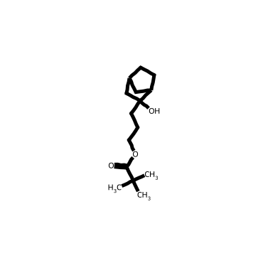 CC(C)(C)C(=O)OCCCC1(O)CC2CCC1C2